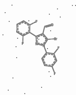 O=Cc1c(-c2c(F)cccc2F)nn(-c2ccc(F)cc2F)c1Br